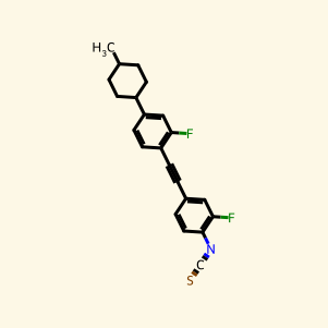 CC1CCC(c2ccc(C#Cc3ccc(N=C=S)c(F)c3)c(F)c2)CC1